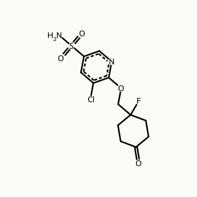 NS(=O)(=O)c1cnc(OCC2(F)CCC(=O)CC2)c(Cl)c1